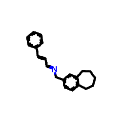 C(=C\c1ccccc1)/C=N/Cc1ccc2c(c1)CCCCC2